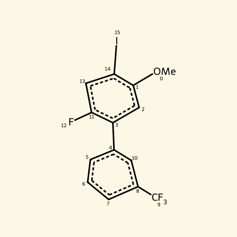 COc1cc(-c2cccc(C(F)(F)F)c2)c(F)cc1I